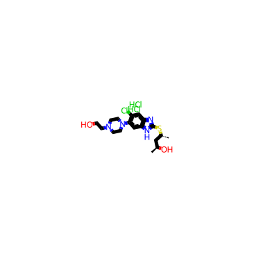 C[C@H](O)C[C@@H](C)Sc1nc2cc(Cl)c(N3CCN(CCO)CC3)cc2[nH]1.Cl.Cl